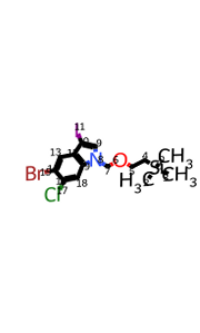 C[Si](C)(C)CCOCn1cc(I)c2cc(Br)c(Cl)cc21